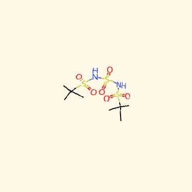 CC(C)(C)S(=O)(=O)NS(=O)(=O)NS(=O)(=O)C(C)(C)C